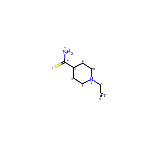 C[C](C)CN1CCC(C(N)=S)CC1